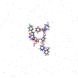 CCOC(=O)[C@H]1Cc2cc(ccc2OCc2ccnc(-c3ccccc3OC)n2)OC[C@@H](CN2CCN(C)CC2)Oc2ccc(cc2)-c2c(-c3ccc(F)cc3)oc3ncnc(c23)O1